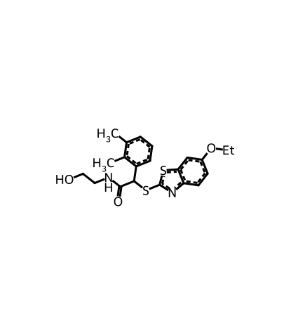 CCOc1ccc2nc(SC(C(=O)NCCO)c3cccc(C)c3C)sc2c1